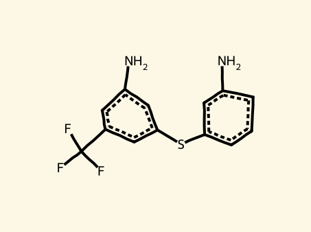 Nc1cccc(Sc2cc(N)cc(C(F)(F)F)c2)c1